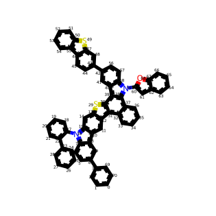 c1ccc(-c2ccc3c(c2)c2cc4c(cc2n3-c2ccccc2-c2ccccc2)sc2c4c3ccccc3c3c2c2cc(-c4ccc5c(c4)sc4ccccc45)ccc2n3-c2cc3ccccc3o2)cc1